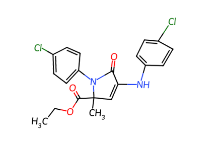 CCOC(=O)C1(C)C=C(Nc2ccc(Cl)cc2)C(=O)N1c1ccc(Cl)cc1